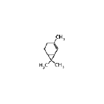 CC1=CC2C(CC1)C2(C)C